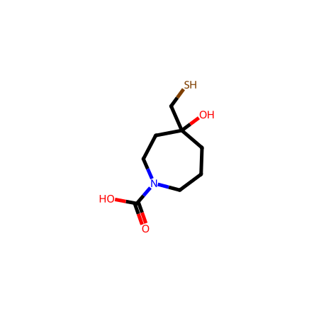 O=C(O)N1CCCC(O)(CS)CC1